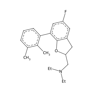 CCN(CC)CC1Cc2cc(F)cc(-c3cccc(C)c3C)c2O1